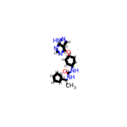 C[C@@H](NC(=O)Nc1ccc(Oc2ncnc3[nH]ncc23)cc1)c1ccccc1